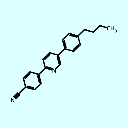 CCCCc1ccc(-c2ccc(-c3ccc(C#N)cc3)nc2)cc1